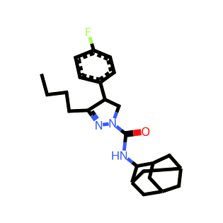 CCCCC1=NN(C(=O)NC2C3CC4CC(C3)CC2C4)CC1c1ccc(F)cc1